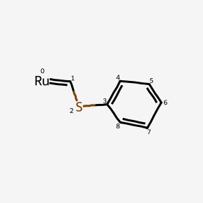 [Ru]=[CH]Sc1ccccc1